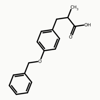 CC(Cc1ccc(OCc2ccccc2)cc1)C(=O)O